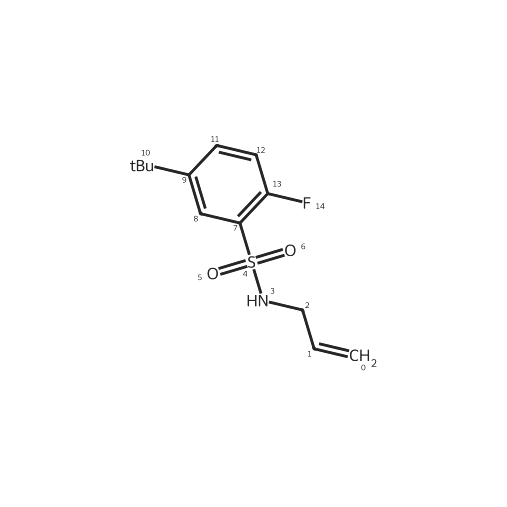 C=CCNS(=O)(=O)c1cc(C(C)(C)C)ccc1F